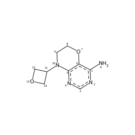 Nc1ncnc2c1OCCN2C1COC1